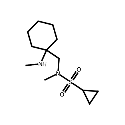 CNC1(CN(C)S(=O)(=O)C2CC2)CCCCC1